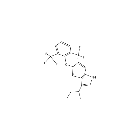 CCC(C)c1c[nH]c2ccc(Oc3c(C(F)(F)F)c[c]cc3C(F)(F)F)cc12